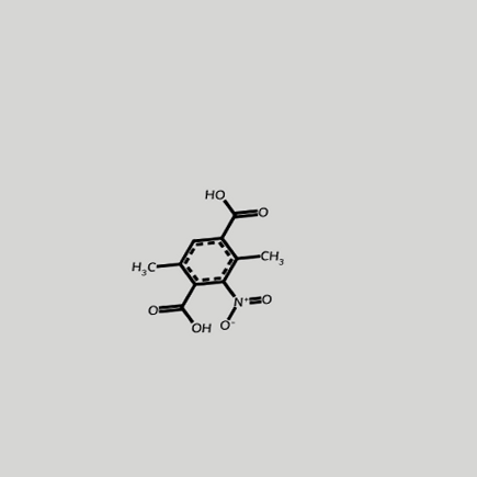 Cc1cc(C(=O)O)c(C)c([N+](=O)[O-])c1C(=O)O